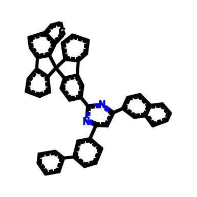 c1ccc(-c2cccc(-c3cc(-c4ccc5ccccc5c4)nc(-c4ccc5c(c4)-c4ccccc4C54c5ccccc5-c5ccc6ccccc6c54)n3)c2)cc1